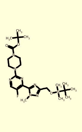 Cn1nc(CO[Si](C)(C)C(C)(C)C)nc1-c1nc(N2CCN(C(=O)OC(C)(C)C)CC2)ncc1F